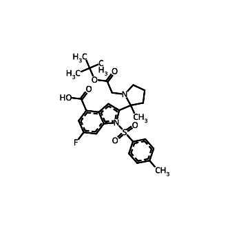 Cc1ccc(S(=O)(=O)n2c(C3(C)CCCN3CC(=O)OC(C)(C)C)cc3c(C(=O)O)cc(F)cc32)cc1